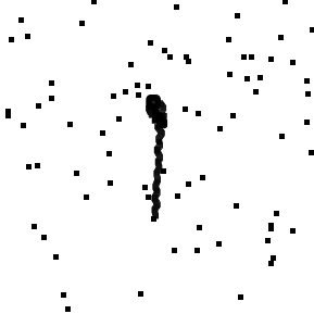 CCCCCCCCCCCCCCCCSN1CCOCC1